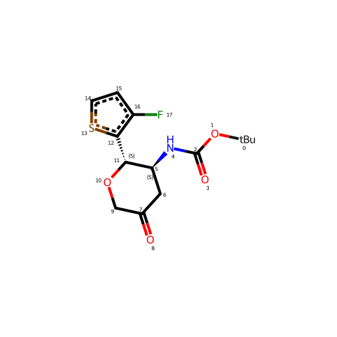 CC(C)(C)OC(=O)N[C@H]1CC(=O)CO[C@@H]1c1sccc1F